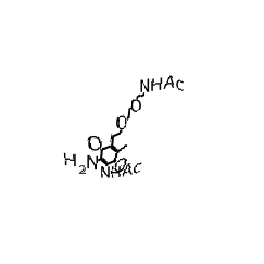 CC(=O)NCCOCCOCCC1=C(C)C(=O)C(NC(C)=O)=C(N)C1=O